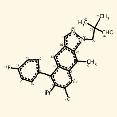 Cc1c2nc(Cl)c(C(C)C)c(-c3ccc(F)cc3)c2cc2cnn(CC(C)(C)C=O)c12